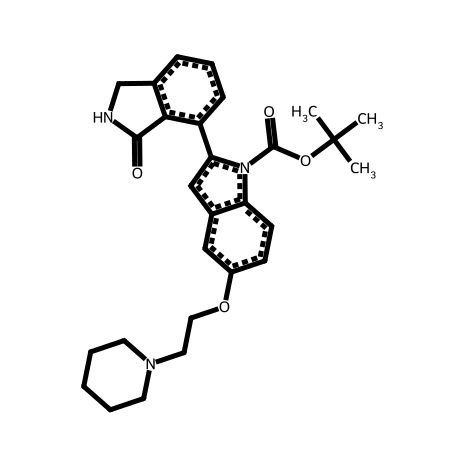 CC(C)(C)OC(=O)n1c(-c2cccc3c2C(=O)NC3)cc2cc(OCCN3CCCCC3)ccc21